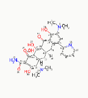 CN(C)c1cc(-c2ccccn2)c2c(c1O)C(=O)C1=C(O)[C@]3(O)C(=O)C(C(N)=O)=C(O)[C@@H](N(C)C)[C@@H]3C[C@@H]1C2